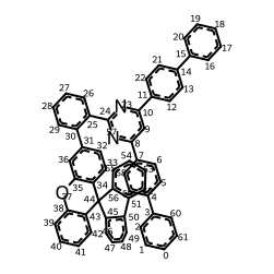 c1ccc(-c2ccc(-c3cc(-c4ccc(-c5ccccc5)cc4)nc(-c4ccccc4-c4ccc5c(c4)Oc4ccccc4C54c5ccccc5-c5ccccc54)n3)cc2)cc1